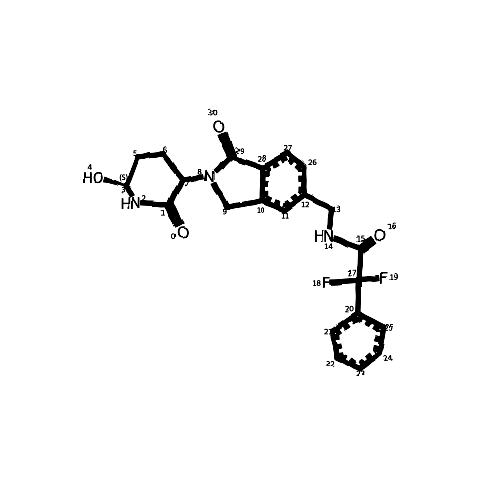 O=C1N[C@@H](O)CCC1N1Cc2cc(CNC(=O)C(F)(F)c3ccccc3)ccc2C1=O